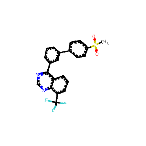 CS(=O)(=O)c1ccc(-c2cccc(-c3ncnc4c(C(F)(F)F)cccc34)c2)cc1